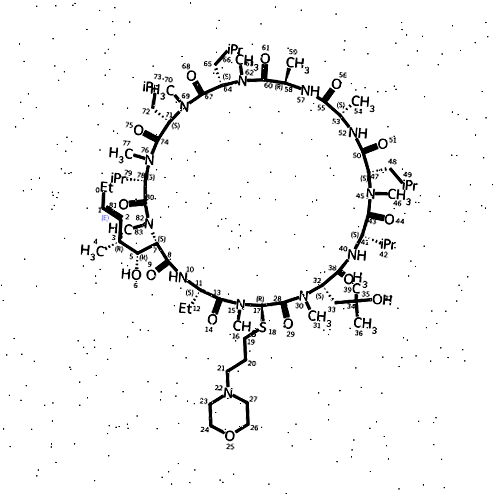 CC/C=C/[C@@H](C)[C@@H](O)[C@H]1C(=O)N[C@@H](CC)C(=O)N(C)[C@H](SCCCN2CCOCC2)C(=O)N(C)[C@@H](CC(C)(C)O)C(=O)N[C@@H](C(C)C)C(=O)N(C)[C@@H](CC(C)C)C(=O)N[C@@H](C)C(=O)N[C@H](C)C(=O)N(C)[C@@H](CC(C)C)C(=O)N(C)[C@@H](CC(C)C)C(=O)N(C)[C@@H](C(C)C)C(=O)N1C